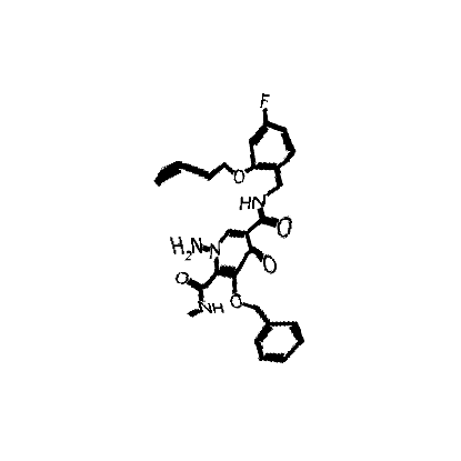 C=CCCOc1cc(F)ccc1CNC(=O)c1cn(N)c(C(=O)NC)c(OCc2ccccc2)c1=O